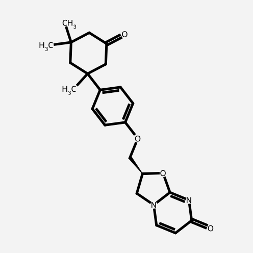 CC1(C)CC(=O)CC(C)(c2ccc(OC[C@@H]3Cn4ccc(=O)nc4O3)cc2)C1